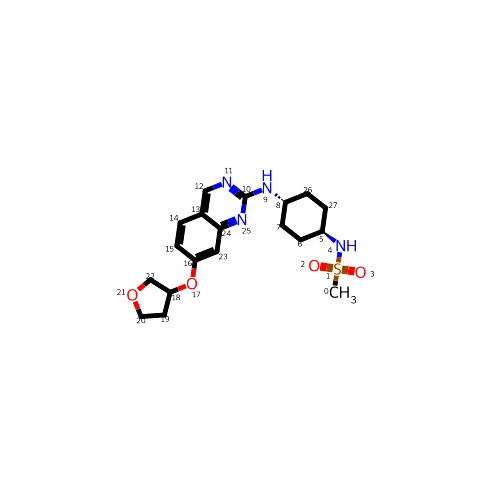 CS(=O)(=O)N[C@H]1CC[C@H](Nc2ncc3ccc(OC4CCOC4)cc3n2)CC1